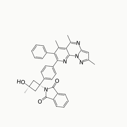 Cc1cc2nc(C)c3c(C)c(-c4ccccc4)c(-c4ccc([C@]5(N6C(=O)c7ccccc7C6=O)C[C@](C)(O)C5)cc4)nc3n2n1